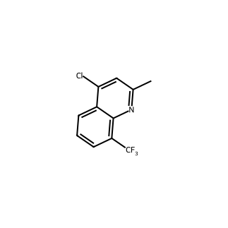 Cc1cc(Cl)c2cccc(C(F)(F)F)c2n1